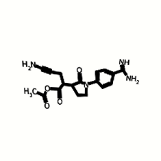 CC(=O)OC(=O)C(CC#CN)C1CCN(c2ccc(C(=N)N)cc2)C1=O